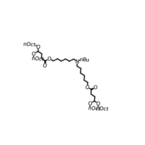 CCCCCCCCOC(CCC(=O)OCCCCCCN(CCCC)CCCCCCOC(=O)CCC(OCCCCCCCC)OCCCCCCCC)OCCCCCCCC